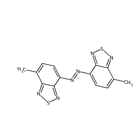 Cc1ccc(/N=N/c2ccc(C)c3nsnc23)c2nsnc12